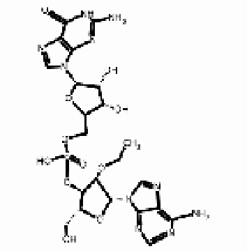 CCO[C@@H]1[C@H](OP(=O)(O)OC[C@H]2O[C@@H](n3cnc4c(=O)[nH]c(N)nc43)[C@H](O)[C@@H]2O)[C@@H](CO)O[C@H]1n1cnc2c(N)ncnc21